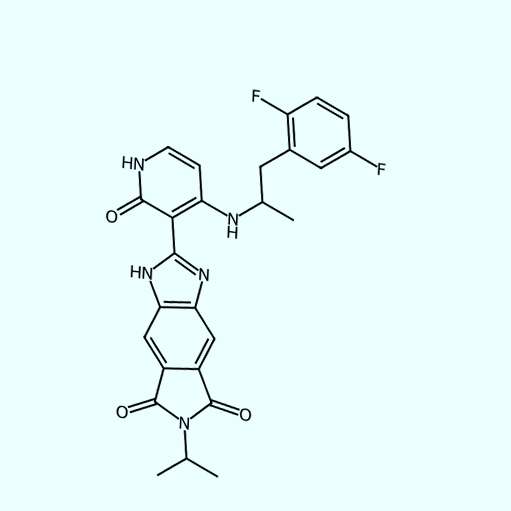 CC(Cc1cc(F)ccc1F)Nc1cc[nH]c(=O)c1-c1nc2cc3c(cc2[nH]1)C(=O)N(C(C)C)C3=O